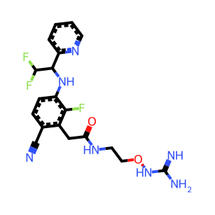 N#Cc1ccc(NC(c2ccccn2)C(F)F)c(F)c1CC(=O)NCCONC(=N)N